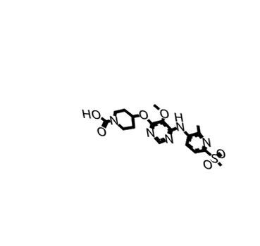 COc1c(Nc2ccc(S(C)(=O)=O)nc2C)ncnc1OC1CCN(C(=O)O)CC1